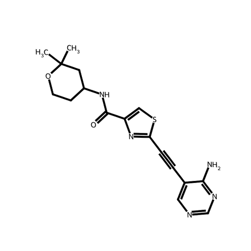 CC1(C)CC(NC(=O)c2csc(C#Cc3cncnc3N)n2)CCO1